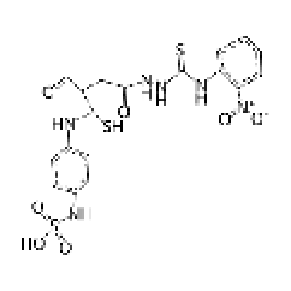 O=CC(CC(=O)NNC(=S)Nc1ccccc1[N+](=O)[O-])C(S)Nc1ccc(NS(=O)(=O)O)cc1